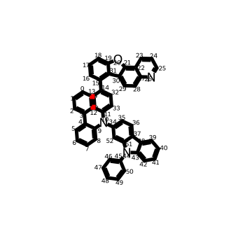 c1ccc(-c2ccccc2N(c2ccc(-c3cccc4oc5c6cccnc6ccc5c34)cc2)c2ccc3c4ccccc4n(-c4ccccc4)c3c2)cc1